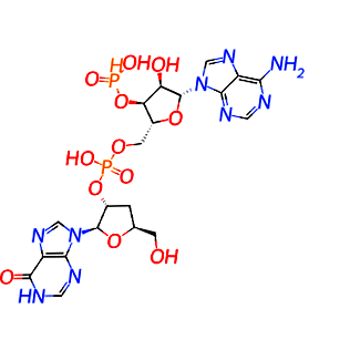 Nc1ncnc2c1ncn2[C@@H]1O[C@H](COP(=O)(O)O[C@@H]2C[C@@H](CO)O[C@H]2n2cnc3c(=O)[nH]cnc32)[C@@H](O[PH](=O)O)[C@H]1O